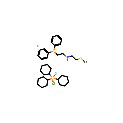 CCSCCNCCP(c1ccccc1)c1ccccc1.ClP(Cl)(C1CCCCC1)(C1CCCCC1)C1CCCCC1.[Ru]